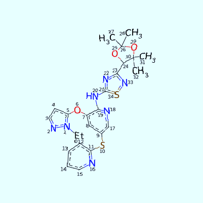 CCn1nccc1Oc1cc(Sc2ccccn2)cnc1Nc1nc(C2OC(C)(C)OC2(C)C)ns1